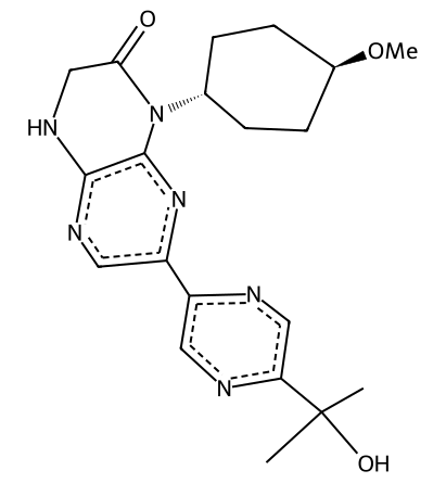 CO[C@H]1CC[C@H](N2C(=O)CNc3ncc(-c4cnc(C(C)(C)O)cn4)nc32)CC1